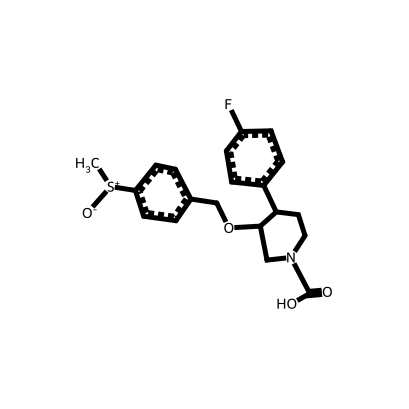 C[S+]([O-])c1ccc(COC2CN(C(=O)O)CCC2c2ccc(F)cc2)cc1